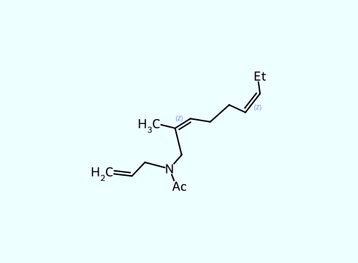 C=CCN(C/C(C)=C\CC/C=C\CC)C(C)=O